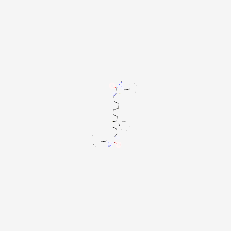 CCn1c(=C(C#N)C#N)s/c(=C\C2=Cc3sc4c(sc5cc(/C=c6\sc(=C(C#N)C#N)n(CC)c6=O)sc54)c3C23CCCCC3)c1=O